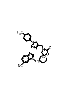 N#Cc1ccc2ncn(C[C@H]3CCC[C@]4(C3)CN(Cc3cn(-c5ccc(C(F)(F)F)cc5)nn3)C(=O)O4)c2c1